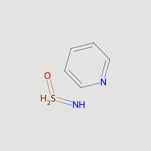 N=[SH2]=O.c1ccncc1